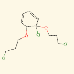 ClCCCOC1C=CC=CC1(Cl)OCCCCl